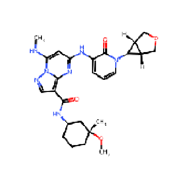 CNc1cc(Nc2cccn([C@H]3[C@@H]4COC[C@@H]43)c2=O)nc2c(C(=O)N[C@@H]3CCC[C@@](C)(OC)C3)cnn12